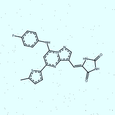 Cc1ccc(-c2cc(Nc3ccc(F)cc3)n3ncc(/C=C4\NC(=O)NC4=O)c3n2)s1